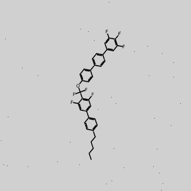 CCCCCc1ccc(-c2cc(F)c(C(F)(F)Oc3ccc(-c4ccc(-c5cc(F)c(F)c(F)c5)cc4)cc3)c(F)c2)cc1